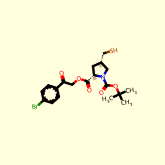 CC(C)(C)OC(=O)N1C[C@@H](CS)C[C@H]1C(=O)OCC(=O)c1ccc(Br)cc1